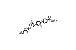 COC(=O)N1CCN(c2ccc(N3CC(CNC(=S)CC(C)(C)C)OC3=O)cc2F)CC1